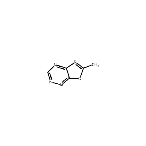 Cc1nc2ncnnc2o1